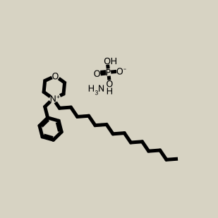 CCCCCCCCCCCCCC[N+]1(Cc2ccccc2)CCOCC1.N.O=P([O-])(O)O